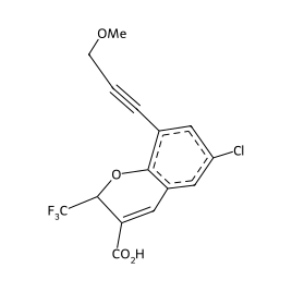 COCC#Cc1cc(Cl)cc2c1OC(C(F)(F)F)C(C(=O)O)=C2